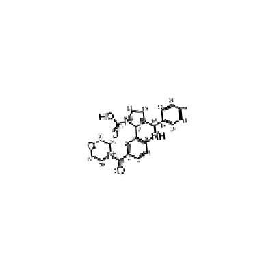 O=C(c1ccc2c(c1)C1C(CCN1C(=O)O)C(c1ccccc1)N2)N1CCOCC1